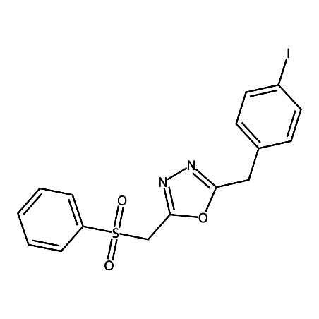 O=S(=O)(Cc1nnc(Cc2ccc(I)cc2)o1)c1ccccc1